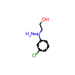 NN(CCO)c1cccc(Cl)c1